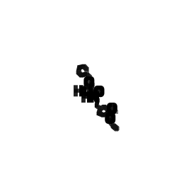 C#CCOc1ccc(CCNC(=O)C(O)COCc2ccccc2)cc1OC